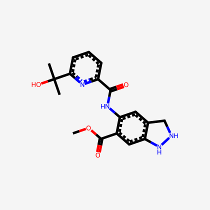 COC(=O)c1cc2c(cc1NC(=O)c1cccc(C(C)(C)O)n1)CNN2